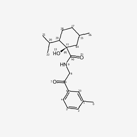 Cc1cccc(C(=O)CNC(=O)[C@@]2(O)CC(C)CCC2C(C)C)c1